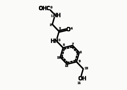 O=CNCC(=O)Nc1ccc(CO)cc1